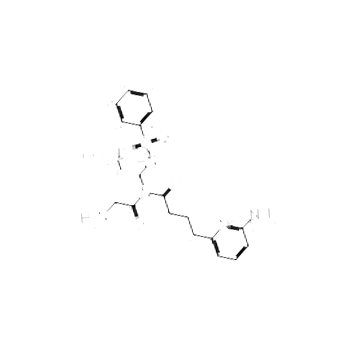 NCC(=O)N(C(=O)CCCc1cccc(N)n1)[C@H](CC(=O)O)NS(=O)(=O)c1ccccc1